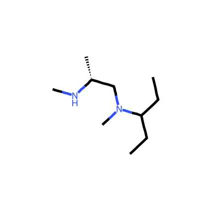 CCC(CC)N(C)C[C@@H](C)NC